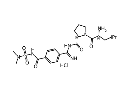 CC(C)C[C@@H](N)C(=O)N1CCC[C@H]1C(=O)NC(=N)c1ccc(C(=O)NS(=O)(=O)N(C)C)cc1.Cl